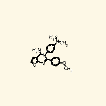 COc1ccc(C2=Nc3occc3C(N)N2c2ccc(N(C)C)cc2)cc1